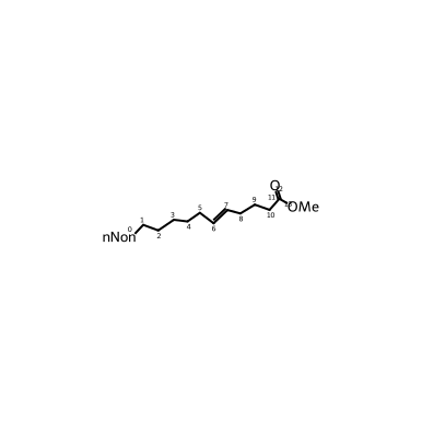 CCCCCCCCCCCCCCC=CCCCC(=O)OC